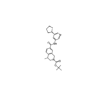 CC1CN(C(=O)OC(C)(C)C)Cc2cc(C(=O)Nc3cncc(C4CCCC4)c3)ccc21